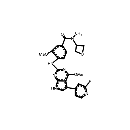 COc1cc(C(=O)N(C)C2COC2)ccc1Nc1nc(OC)c2c(-c3ccnc(F)c3)c[nH]c2n1